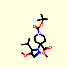 COC(=O)C1(n2ncc(OC)c2C(C)C)CCN(C(=O)OC(C)(C)C)CC1